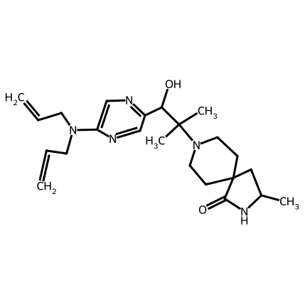 C=CCN(CC=C)c1cnc(C(O)C(C)(C)N2CCC3(CC2)CC(C)NC3=O)cn1